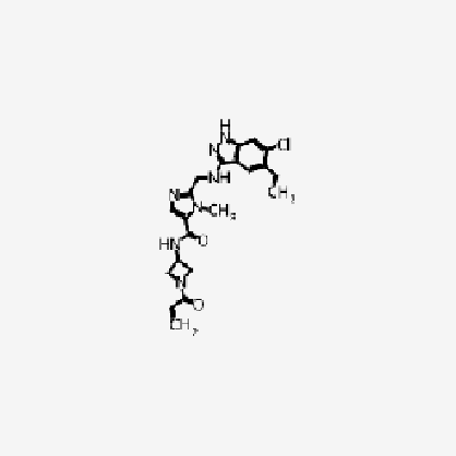 C=CC(=O)N1CC(NC(=O)c2cnc(CNc3n[nH]c4cc(Cl)c(C=C)cc34)n2C)C1